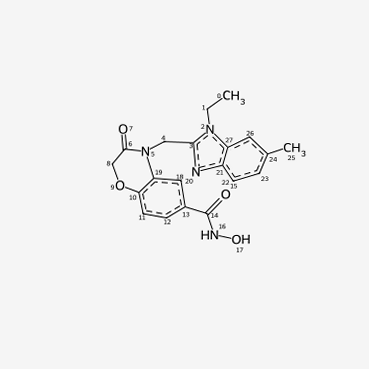 CCn1c(CN2C(=O)COc3ccc(C(=O)NO)cc32)nc2ccc(C)cc21